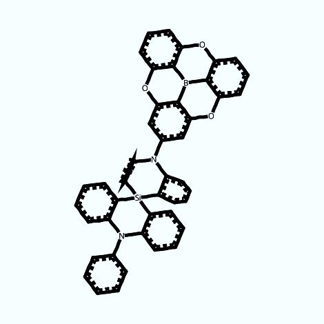 c1ccc(N2c3ccccc3[Si]3(c4ccccc42)c2ccccc2N(c2cc4c5c(c2)Oc2cccc6c2B5c2c(cccc2O4)O6)c2ccccc23)cc1